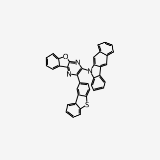 c1ccc2cc3c(cc2c1)c1ccccc1n3-c1nc2oc3ccccc3c2nc1-c1ccc2sc3ccccc3c2c1